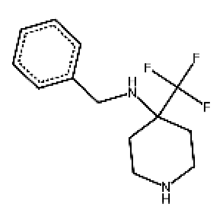 FC(F)(F)C1(NCc2ccccc2)CCNCC1